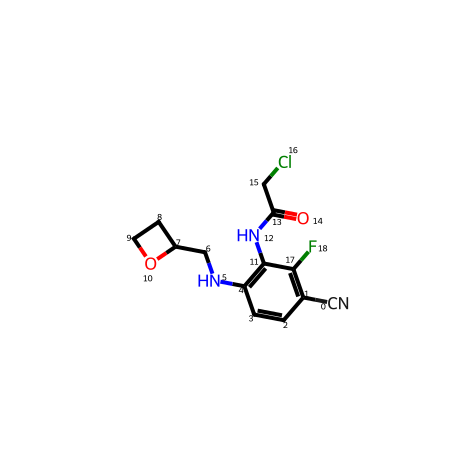 N#Cc1ccc(NCC2CCO2)c(NC(=O)CCl)c1F